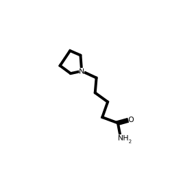 NC(=O)CCCCN1CCCC1